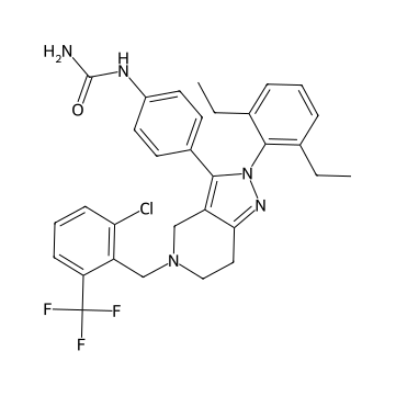 CCc1cccc(CC)c1-n1nc2c(c1-c1ccc(NC(N)=O)cc1)CN(Cc1c(Cl)cccc1C(F)(F)F)CC2